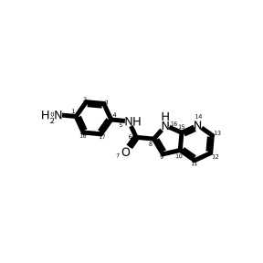 Nc1ccc(NC(=O)c2cc3cccnc3[nH]2)cc1